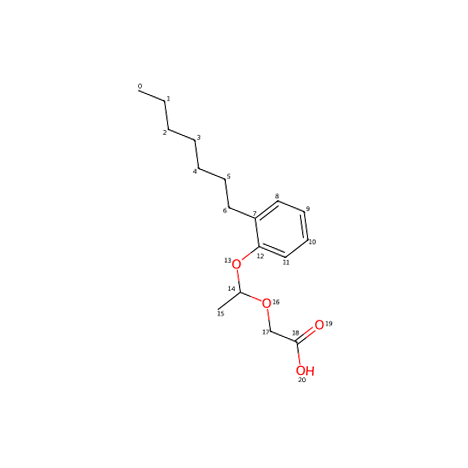 CCCCCCCc1ccccc1OC(C)OCC(=O)O